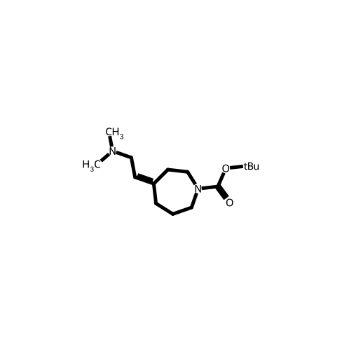 CN(C)CC=C1CCCN(C(=O)OC(C)(C)C)CC1